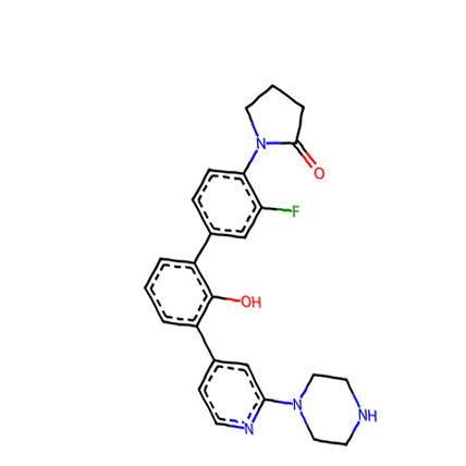 O=C1CCCN1c1ccc(-c2cccc(-c3ccnc(N4CCNCC4)c3)c2O)cc1F